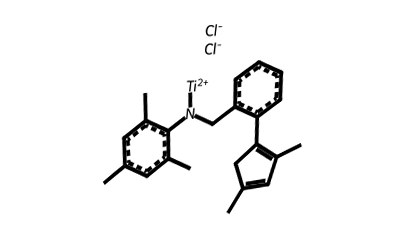 CC1=CC(C)=C(c2ccccc2C[N]([Ti+2])c2c(C)cc(C)cc2C)C1.[Cl-].[Cl-]